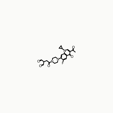 CC(=O)c1cn(C2CC2)c2cc(N3CCN(C(=O)CC(C=O)C=O)CC3)c(F)cc2c1=O